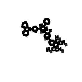 CC1(C)CC(C)(C)c2cc(-c3cc(F)c(-c4nc(-c5ccccc5)nc(-c5ccc(-n6c7ccccc7c7ccccc76)cc5)n4)cn3)ccc21